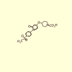 CS(=O)(=O)c1ccc(-n2ccc(OC3CCN(C(=O)O)CC3)cc2=O)cc1